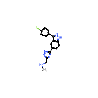 CNCc1nc(-c2ccc3[nH]nc(-c4ccc(F)cc4)c3c2)n[nH]1